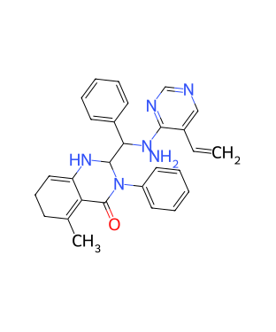 C=Cc1cncnc1N(N)C(c1ccccc1)C1NC2=CCCC(C)=C2C(=O)N1c1ccccc1